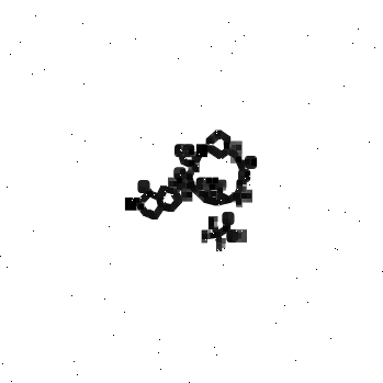 COc1cc2ccc1[C@@H](C)COC(=O)Nc1cccc(c1)CN(CC(=O)O)C(=O)[C@@H]2Nc1ccc2cc[nH]c(=O)c2c1.O=C(O)C(F)(F)F